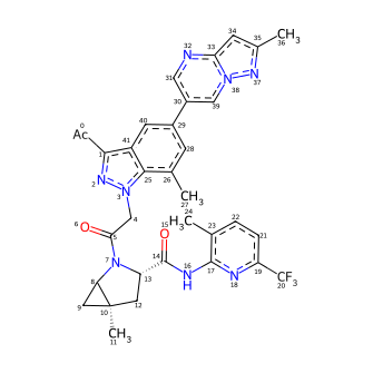 CC(=O)c1nn(CC(=O)N2C3C[C@]3(C)C[C@H]2C(=O)Nc2nc(C(F)(F)F)ccc2C)c2c(C)cc(-c3cnc4cc(C)nn4c3)cc12